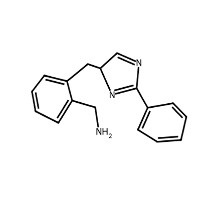 NCc1ccccc1CC1C=NC(c2ccccc2)=N1